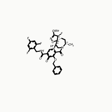 COC1=NO[C@@]2(CC[C@H](C)N3C[C@H]2n2cc(C(=O)NCc4c(F)cc(F)cc4F)c(=O)c(OCc4ccccc4)c2C3=O)[C@@H]1F